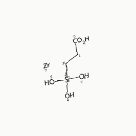 O=C(O)CC[Si](O)(O)O.[Zr]